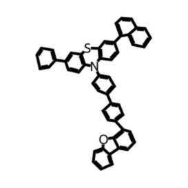 c1ccc(-c2ccc3c(c2)Sc2cc(-c4cccc5ccccc45)ccc2N3c2ccc(-c3ccc(-c4cccc5c4oc4ccccc45)cc3)cc2)cc1